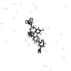 Cc1ccc2c(c1)CN(C1CS(=O)(=O)C1)Cc1nnc(C3CCN(c4cc(C#N)ccn4)CC3)n1-2